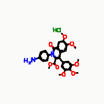 COC(=O)c1c(-c2cc(OC)c(OC)c(OC)c2)c2cc(OC)c(OC)cc2c(=O)n1-c1ccc(N)cc1.Cl